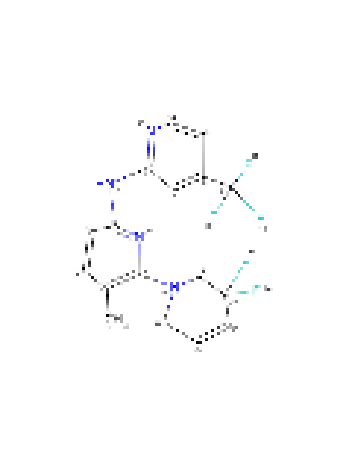 Cc1ccc(Nc2cc(C(F)(F)F)ccn2)nc1N1CC=CC(F)(F)C1